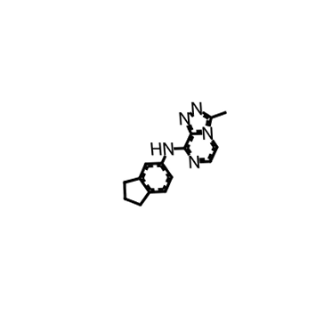 Cc1nnc2c(Nc3ccc4c(c3)CCC4)nccn12